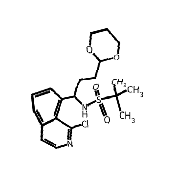 CC(C)(C)S(=O)(=O)NC(CCC1OCCCO1)c1cccc2ccnc(Cl)c12